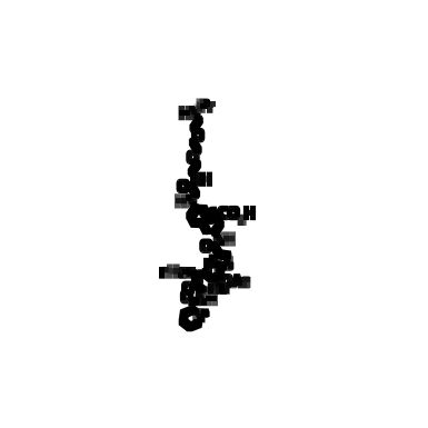 CCCCCCN(C(=O)[C@@H](NC(=O)[C@H]1CCCCN1C)[C@@H](C)CC)[C@H](C[C@@H](OC(C)=O)c1nc(C(=O)N[C@@H](Cc2ccc(NCC(=O)NCCOCCOCCNC(C)C)cc2)CC(C)(C)C(=O)O)cs1)C(C)C